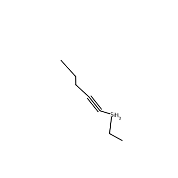 CCCC#C[SiH2]CC